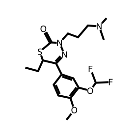 CCC1SC(=O)N(CCCN(C)C)N=C1c1ccc(OC)c(OC(F)F)c1